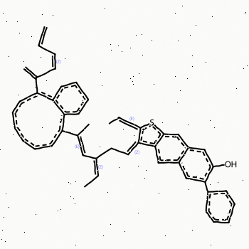 C=C/C=C\C(=C)c1ccccccc(/C(C)=C/C(=C\C)C/C=c2\c(=C/C)sc3cc4cc(O)c(-c5ccccc5)cc4cc23)c2ccccc12